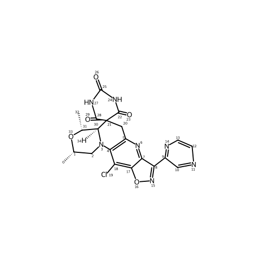 C[C@H]1CN2c3c(nc4c(-c5cnccn5)noc4c3Cl)CC3(C(=O)NC(=O)NC3=O)[C@@H]2[C@@H](C)O1